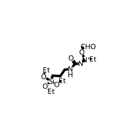 CCO[Si](CCCNC(=O)N=[N+](CC)OC=O)(OCC)OCC